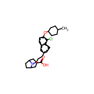 CC1CCC(Oc2ccc3cc(CCCN4C5CCC4CC(C(=O)O)C5)ccc3c2Cl)CC1